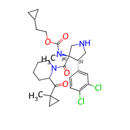 CN(C(=O)OCCC1CC1)[C@@]1(C(=O)N2CCCCC2C(=O)C2(C)CC2)CNC[C@@H]1c1ccc(Cl)c(Cl)c1